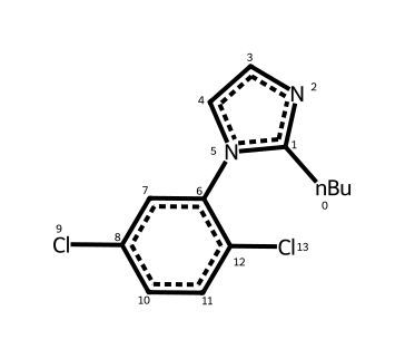 CCCCc1nccn1-c1cc(Cl)ccc1Cl